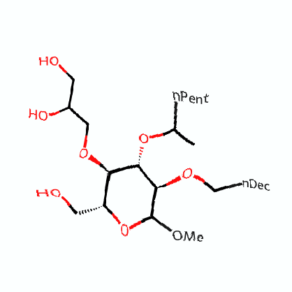 CCCCCCCCCCCO[C@H]1C(OC)O[C@H](CO)[C@@H](OCC(O)CO)[C@@H]1OC(C)CCCCC